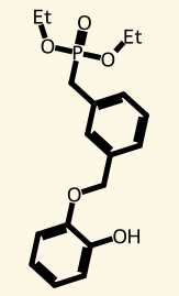 CCOP(=O)(Cc1cccc(COc2ccccc2O)c1)OCC